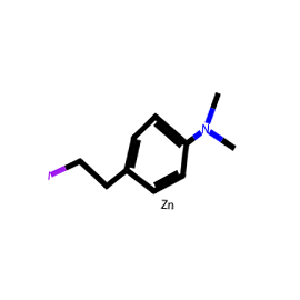 CN(C)c1ccc(CCI)cc1.[Zn]